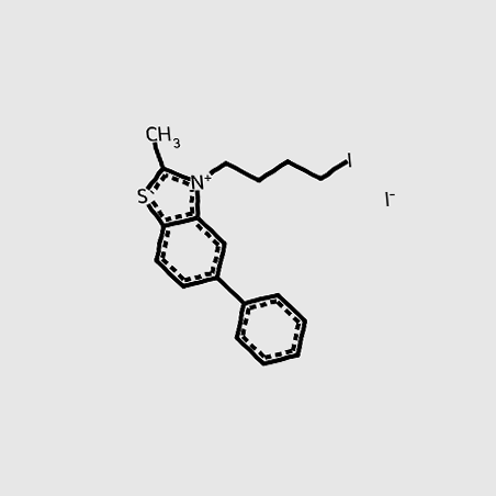 Cc1sc2ccc(-c3ccccc3)cc2[n+]1CCCCI.[I-]